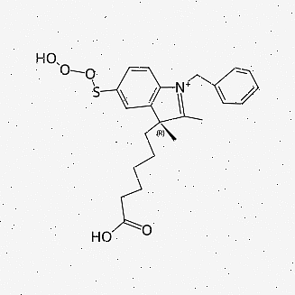 CC1=[N+](Cc2ccccc2)c2ccc(SOOO)cc2[C@@]1(C)CCCCCC(=O)O